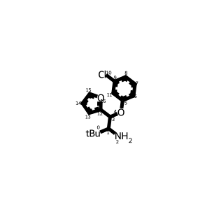 CC(C)(C)C(N)C(Oc1cccc(Cl)c1)c1ccco1